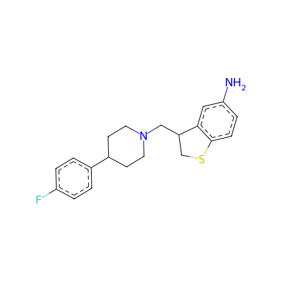 Nc1ccc2c(c1)C(CN1CCC(c3ccc(F)cc3)CC1)CS2